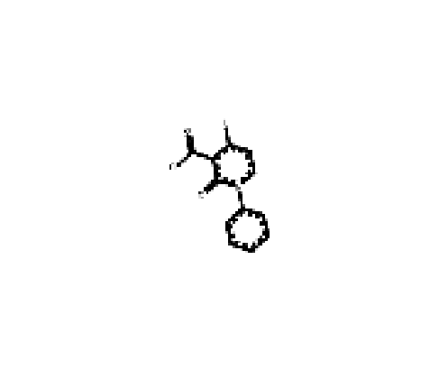 O=C(Cl)c1c(I)ccn(-c2ccccc2)c1=O